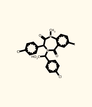 CN1C(=O)C(c2ccc(Cl)cc2)N(C(C(=O)O)c2ccc(Cl)cc2)C(=O)c2cc(I)ccc21